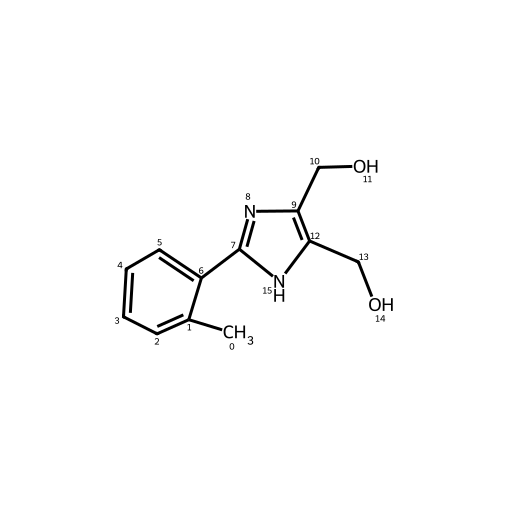 Cc1ccccc1-c1nc(CO)c(CO)[nH]1